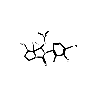 Cc1c(N2C(=O)N3CC[C@@H](C(C)(C)C)[C@@H]3[C@@]2(C)O[SiH](C)C)ccc(C#N)c1Cl